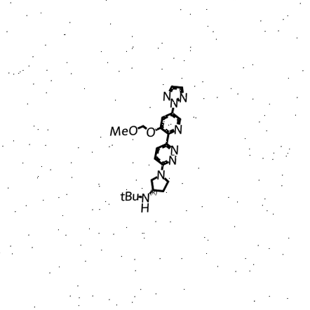 COCOc1cc(-n2nccn2)cnc1-c1ccc(N2CC[C@@H](NC(C)(C)C)C2)nn1